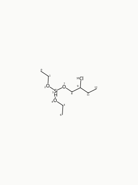 CCO[SiH](OCC)OCC(Cl)CC